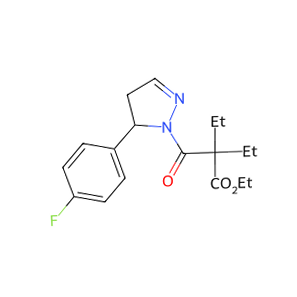 CCOC(=O)C(CC)(CC)C(=O)N1N=CCC1c1ccc(F)cc1